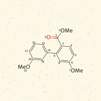 COC(=O)c1ccc(OC)cc1-c1cccc(OC)c1